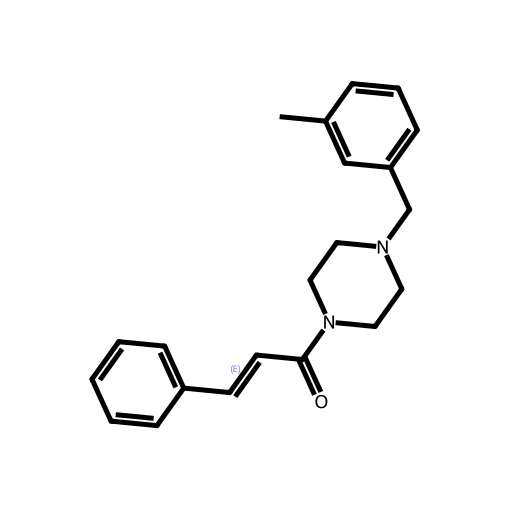 Cc1cccc(CN2CCN(C(=O)/C=C/c3ccccc3)CC2)c1